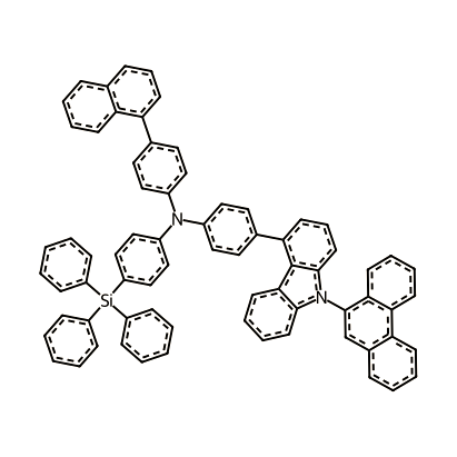 c1ccc([Si](c2ccccc2)(c2ccccc2)c2ccc(N(c3ccc(-c4cccc5ccccc45)cc3)c3ccc(-c4cccc5c4c4ccccc4n5-c4cc5ccccc5c5ccccc45)cc3)cc2)cc1